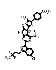 Cc1sc([C@]2(C)C(=O)Nc3nc(-c4nn(CCC(F)(F)C(F)(F)F)c5cc(Cl)ccc45)nc(N)c32)nc1-c1ccc(C(=O)O)cc1